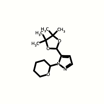 CC1(C)OC(c2ccnn2C2CCCCO2)OC1(C)C